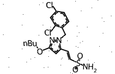 CCCCOc1cc(/C=C/S(N)(=O)=O)n(Cc2ccc(Cl)cc2Cl)n1